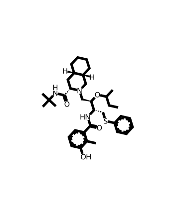 CCC(C)O[C@H](CN1C[C@H]2CCCC[C@H]2C[C@H]1C(=O)NC(C)(C)C)[C@H](CSc1ccccc1)NC(=O)c1cccc(O)c1C